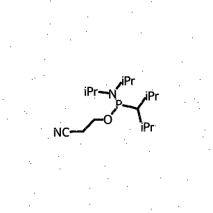 CC(C)C(C(C)C)P(OCCC#N)N(C(C)C)C(C)C